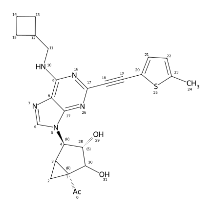 CC(=O)[C@]12CC1[C@@H](n1cnc3c(NCC4CCC4)nc(C#Cc4ccc(C)s4)nc31)[C@H](O)C2O